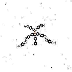 Oc1ccc(OCCOc2ccc(-c3ccc(OCCOc4ccc(O)cc4)c(C(c4ccc(-c5ccccc5)cc4)c4cc(-c5ccc(OCCOc6ccc(O)cc6)cc5)ccc4OCCOc4ccc(O)cc4)c3)cc2)cc1